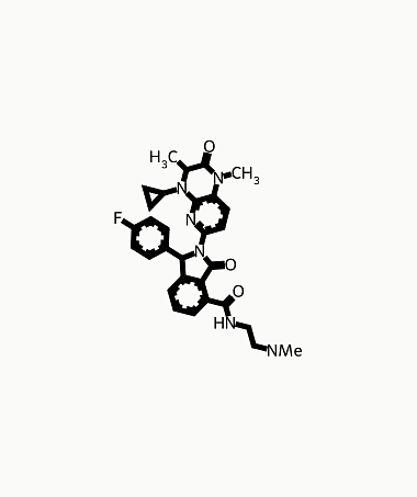 CNCCNC(=O)c1cccc2c1C(=O)N(c1ccc3c(n1)N(C1CC1)C(C)C(=O)N3C)C2c1ccc(F)cc1